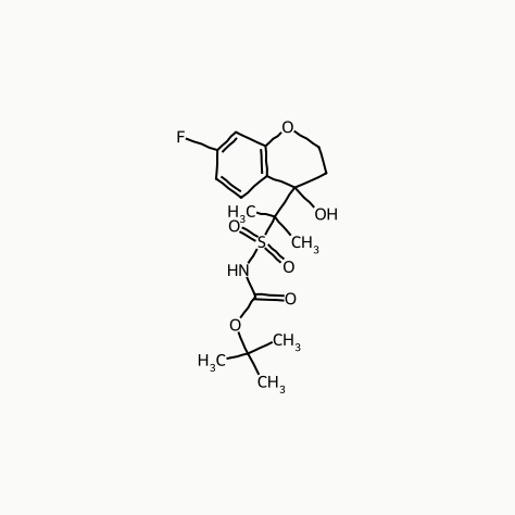 CC(C)(C)OC(=O)NS(=O)(=O)C(C)(C)C1(O)CCOc2cc(F)ccc21